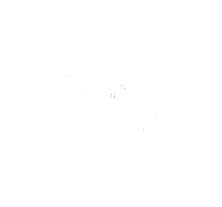 Cc1c(C(=O)O)cnn1C1CC(C)(O)C1